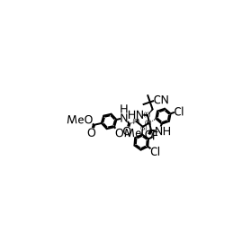 COC(=O)c1ccc(NC(=O)[C@@H]2N[C@@H](CC(C)(C)C#N)[C@@]3(C(=O)Nc4cc(Cl)ccc43)[C@H]2c2cccc(Cl)c2F)c(OC)c1